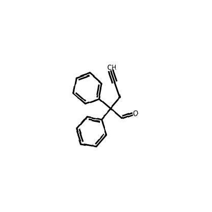 C#CCC(C=O)(c1ccccc1)c1ccccc1